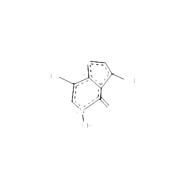 Cc1csc2c(C(C)C)cn(C)c(=O)c12